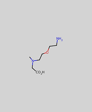 CN(CCOCCN)CC(=O)O